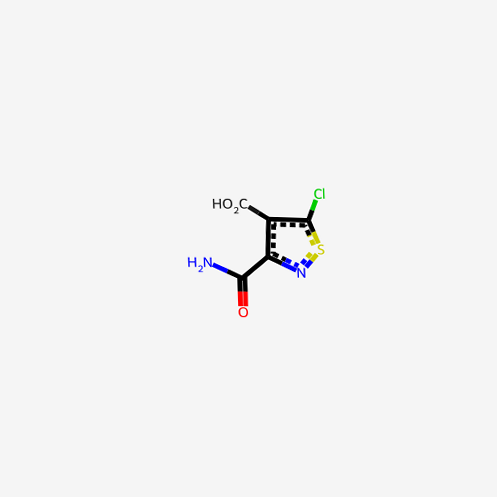 NC(=O)c1nsc(Cl)c1C(=O)O